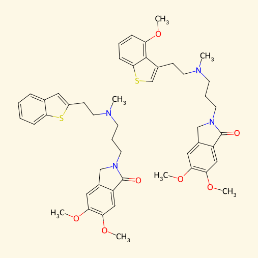 COc1cc2c(cc1OC)C(=O)N(CCCN(C)CCc1cc3ccccc3s1)C2.COc1cc2c(cc1OC)C(=O)N(CCCN(C)CCc1csc3cccc(OC)c13)C2